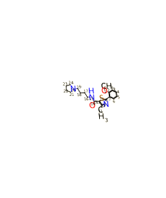 COc1ccccc1-c1nc(C)c(C(=O)NCCCCN2CCCC2)s1